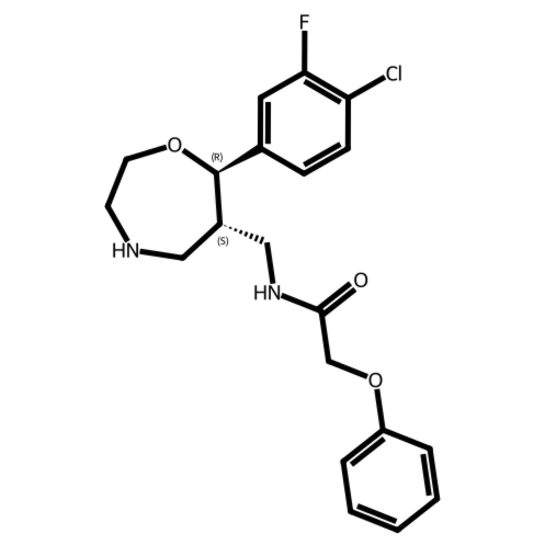 O=C(COc1ccccc1)NC[C@@H]1CNCCO[C@H]1c1ccc(Cl)c(F)c1